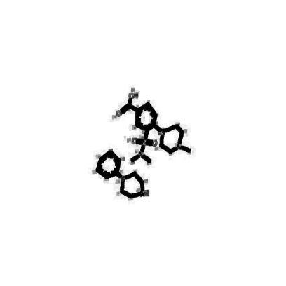 CN1CCN(c2ccc(C(=O)O)cc2S(=O)(=O)N(C)C)CC1.c1ccc(N2CCNCC2)cc1